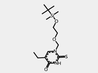 CCc1cn(COCCO[Si](C)(C)C(C)(C)C)c(=S)[nH]c1=O